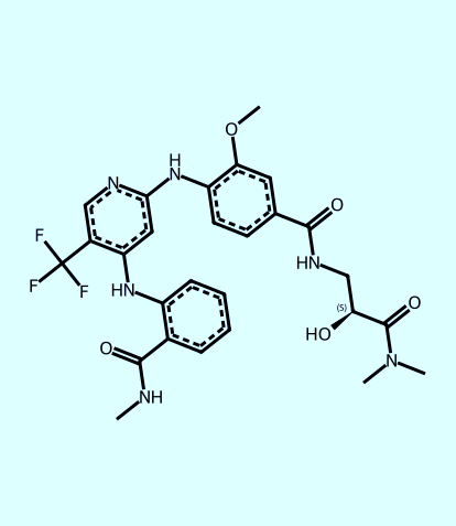 CNC(=O)c1ccccc1Nc1cc(Nc2ccc(C(=O)NC[C@H](O)C(=O)N(C)C)cc2OC)ncc1C(F)(F)F